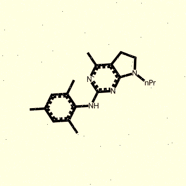 CCCN1CCc2c(C)nc(Nc3c(C)cc(C)cc3C)nc21